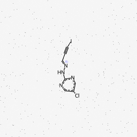 Clc1cnc(N/N=C/C#CI)nc1